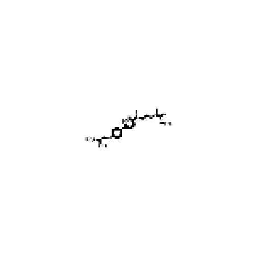 CC(C)(C)OC(=O)NCCCNc1ccc(-c2ccc(OCC(O)C(=O)O)cc2)nn1